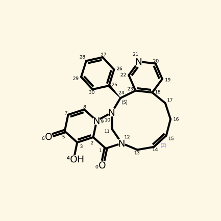 O=C1c2c(O)c(=O)ccn2N2CN1C/C=C\CCc1ccncc1[C@@H]2c1ccccc1